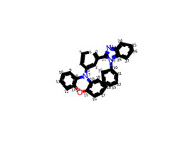 C=C(/C=C(\C=C/C)N1c2ccccc2Oc2ccccc21)c1nc2ccccc2n1-c1ccccc1